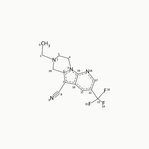 CCN1CCn2c(c(C#N)c3cc(C(F)(F)F)cnc32)C1